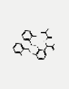 CC(C)C(=O)NC(C(=O)O)c1cccc(OCc2ccccc2Cl)c1OCc1ccccc1Cl